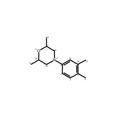 Cc1ccc(N2CC(C)OC(C)C2)cc1C